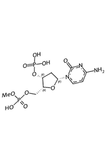 COP(=O)(O)OC[C@H]1O[C@@H](n2ccc(N)nc2=O)C[C@H]1OP(=O)(O)O